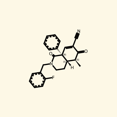 C[C@@H]1C(=O)C(C#N)=C[C@]2(c3ccccc3)C(=O)N(Cc3ccccc3F)CC[C@@H]12